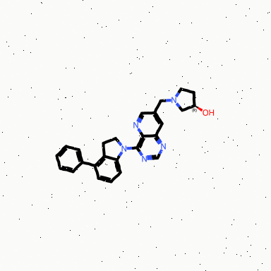 O[C@@H]1CCN(Cc2cnc3c(N4CCc5c(-c6ccccc6)cccc54)ncnc3c2)C1